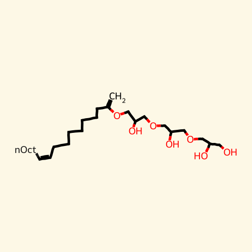 C=C(CCCCCCC/C=C\CCCCCCCC)OCC(O)COCC(O)COCC(O)CO